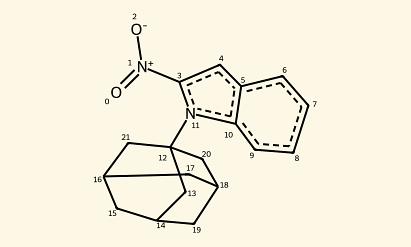 O=[N+]([O-])c1cc2ccccc2n1C12CC3CC(CC(C3)C1)C2